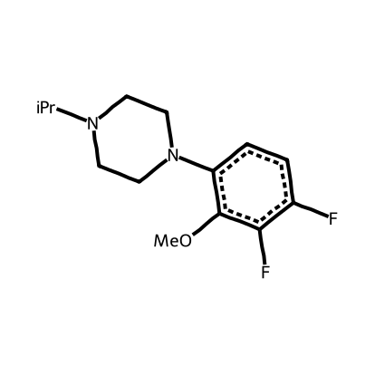 COc1c(N2CCN(C(C)C)CC2)ccc(F)c1F